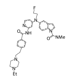 CCN1CCN(CCc2ccc(C(=O)Nc3cc(N(CCF)c4ccc5c(ccn5C(=O)NC)c4)ccn3)cc2)CC1